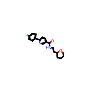 O=C(NCCC1CCCCO1)c1ccc(-c2ccc(F)cc2)nc1